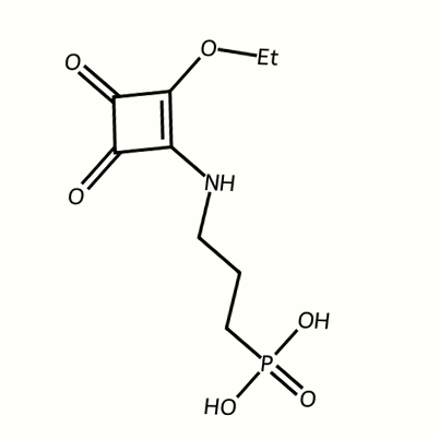 CCOc1c(NCCCP(=O)(O)O)c(=O)c1=O